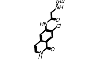 CC(C)(C)NCC(=O)Nc1cc2cc[nH]c(=O)c2cc1Cl